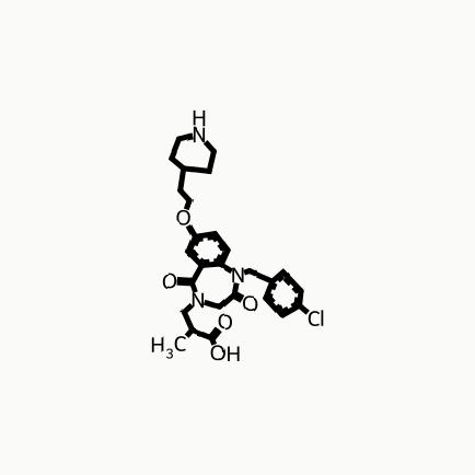 CC(CN1CC(=O)N(Cc2ccc(Cl)cc2)c2ccc(OCCC3CCNCC3)cc2C1=O)C(=O)O